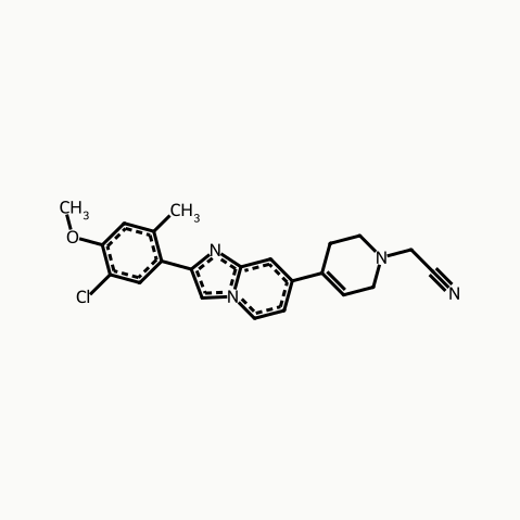 COc1cc(C)c(-c2cn3ccc(C4=CCN(CC#N)CC4)cc3n2)cc1Cl